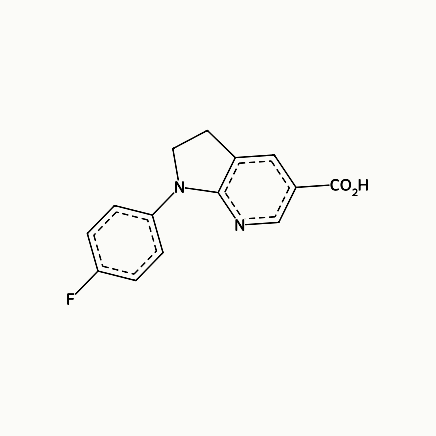 O=C(O)c1cnc2c(c1)CCN2c1ccc(F)cc1